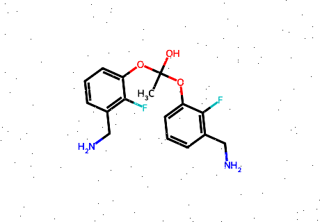 CC(O)(Oc1cccc(CN)c1F)Oc1cccc(CN)c1F